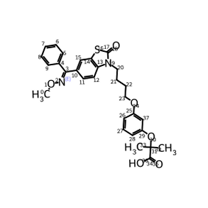 CO/N=C(\c1ccccc1)c1ccc2c(c1)sc(=O)n2CCCCOc1cccc(OC(C)(C)C(=O)O)c1